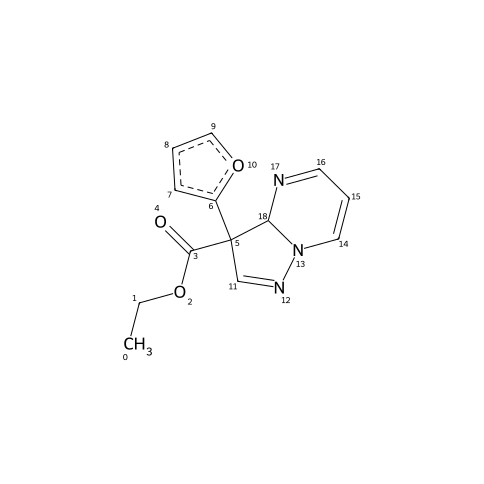 CCOC(=O)C1(c2ccco2)C=NN2C=CC=NC21